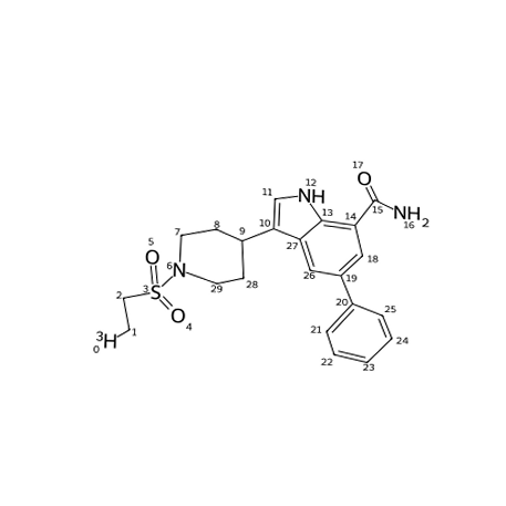 [3H]CCS(=O)(=O)N1CCC(c2c[nH]c3c(C(N)=O)cc(-c4ccccc4)cc23)CC1